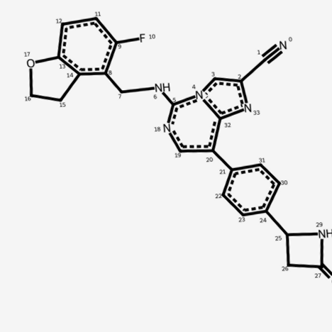 N#Cc1cn2c(NCc3c(F)ccc4c3CCO4)ncc(-c3ccc(C4CC(=O)N4)cc3)c2n1